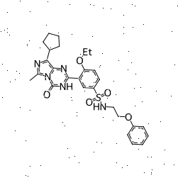 CCOc1ccc(S(=O)(=O)NCCOc2ccccc2)cc1-c1nc2c(C3CCCC3)nc(C)n2c(=O)[nH]1